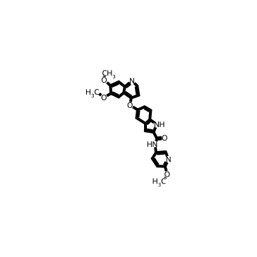 COc1ccc(NC(=O)c2cc3cc(Oc4ccnc5cc(OC)c(OC)cc45)ccc3[nH]2)cn1